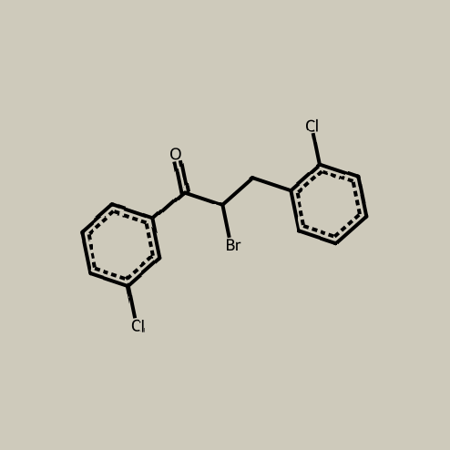 O=C(c1cccc(Cl)c1)C(Br)Cc1ccccc1Cl